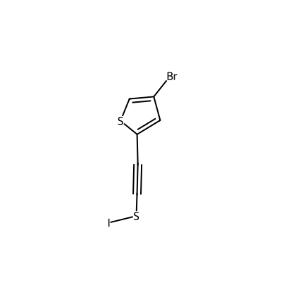 Brc1csc(C#CSI)c1